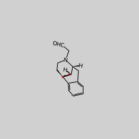 O=CCN1CC[C@]23CCCC[C@H]2[C@H]1Cc1cc[c]cc13